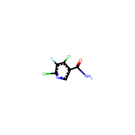 NC(=O)c1cnc(Cl)c(F)c1Cl